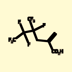 C=C(CC(F)(C(F)(F)F)C(F)(F)C(F)(F)F)C(=O)O